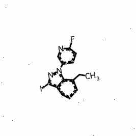 CCc1cccc2c(I)nn(-c3ccc(F)nc3)c12